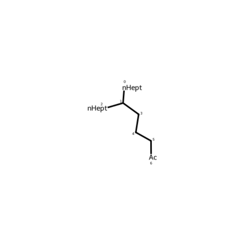 CCCCCCCC(CCCCCCC)CCCC(C)=O